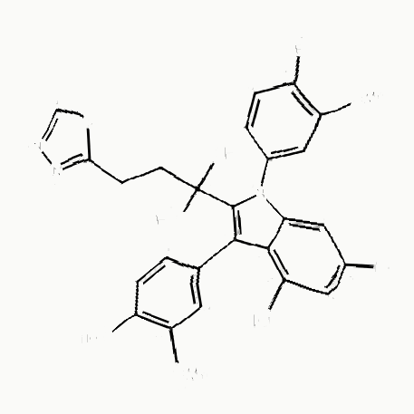 COc1cc(-n2c(C(C)(C)CCc3nncs3)c(-c3ccc(C(=O)O)c(OC)c3)c3c(O)cc(F)cc32)ccc1F